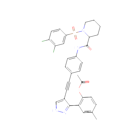 CC(=O)Oc1ccc(C)cc1-c1n[nH]cc1C#Cc1ccc(NC(=O)C2CCCCN2S(=O)(=O)c2ccc(F)c(F)c2)cc1